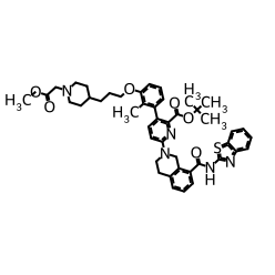 COC(=O)CN1CCC(CCCOc2cccc(-c3ccc(N4CCc5cccc(C(=O)Nc6nc7ccccc7s6)c5C4)nc3C(=O)OC(C)(C)C)c2C)CC1